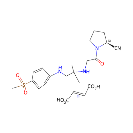 CC(C)(CNc1ccc(S(C)(=O)=O)cc1)NCC(=O)N1CCC[C@H]1C#N.O=C(O)/C=C/C(=O)O